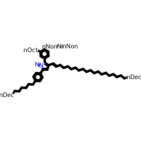 CCCCCCCCCCCCCCCCCCCCCCCCCCCCC=CC1=C(c2cccc(CCCCCCCC)c2)[N+](=[N-])C(c2ccc(CCCCCCCCCCCCCCCC)cc2)=C1.CCCCCCCC[CH2][Ni][CH2]CCCCCCCC